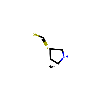 C1CCNC1.S=C[S-].[Na+]